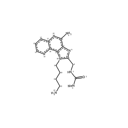 CNC(=O)NCc1nc2c(N)nc3cccnc3c2n1CCCCN